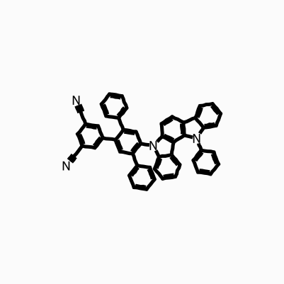 N#Cc1cc(C#N)cc(-c2cc(-c3ccccc3)c(-n3c4ccccc4c4c3ccc3c5ccccc5n(-c5ccccc5)c34)cc2-c2ccccc2)c1